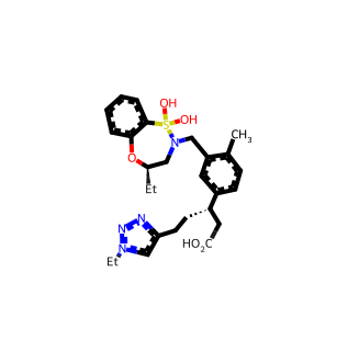 CC[C@@H]1CN(Cc2cc([C@@H](CCc3cn(CC)nn3)CC(=O)O)ccc2C)S(O)(O)c2ccccc2O1